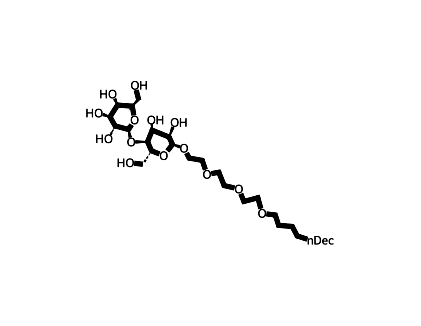 CCCCCCCCCCCCCCOCCOCCOCCO[C@H]1O[C@H](CO)[C@@H](O[C@@H]2O[C@H](CO)[C@H](O)[C@H](O)[C@H]2O)[C@H](O)[C@H]1O